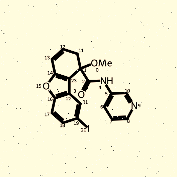 COC1(C(=O)Nc2cccnc2)CC=Cc2oc3ccc(I)cc3c21